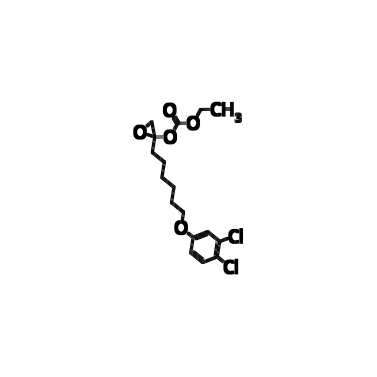 CCOC(=O)OC1(CCCCCCOc2ccc(Cl)c(Cl)c2)CO1